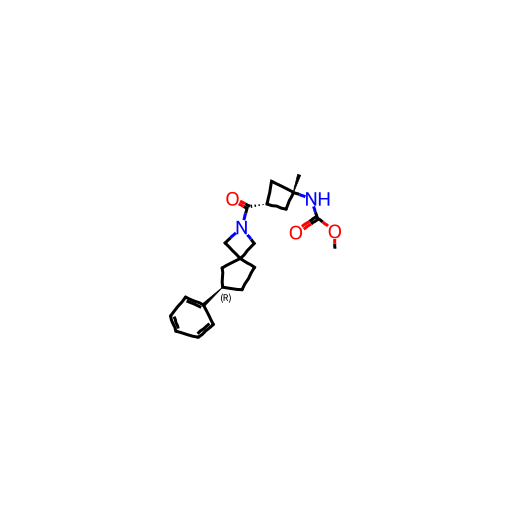 COC(=O)N[C@]1(C)C[C@H](C(=O)N2CC3(CC[C@@H](c4ccccc4)C3)C2)C1